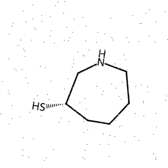 S[C@H]1CCCCNC1